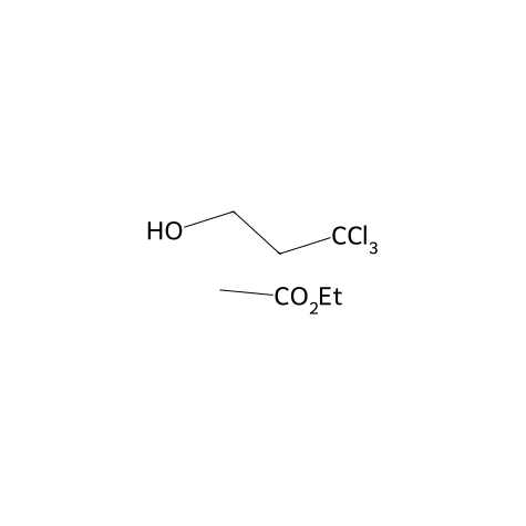 CCOC(C)=O.OCCC(Cl)(Cl)Cl